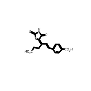 O=C(O)CCC(/C=C/c1ccc(C(=O)O)cc1)=C1\SC(=S)NC1=O